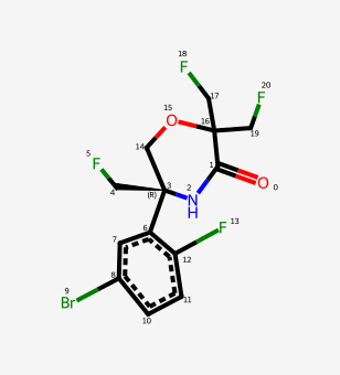 O=C1N[C@](CF)(c2cc(Br)ccc2F)COC1(CF)CF